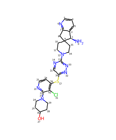 N[C@@H]1c2cccnc2CC12CCN(c1ncc(Sc3ccnc(N4CCC(O)CC4)c3Cl)nn1)CC2